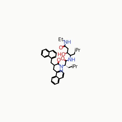 CCNC(=O)CC(O)C(CC(C)C)NC(=O)[C@H](CC(C)C)NC(=O)C(Cc1cccc2ccccc12)Cc1cccc2ccccc12